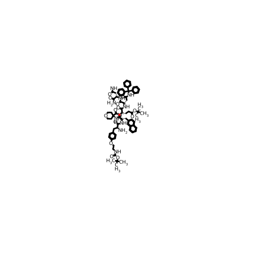 CC(C)(C)OC(=O)CC[C@H](NC(=O)C1(NC(=O)[C@H](Cc2ccc3ccccc3c2)NC(=O)[C@@H](N)Cc2ccc(OCCNC(=O)OC(C)(C)C)cc2)CCOCC1)C(=O)N[C@@H](CC(=O)NC(c1ccccc1)(c1ccccc1)c1ccccc1)C(=O)N[C@@H](CC(N)=O)C(N)=O